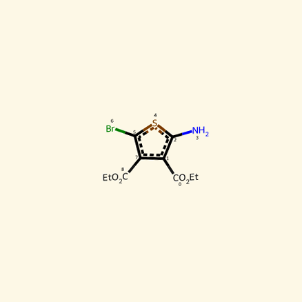 CCOC(=O)c1c(N)sc(Br)c1C(=O)OCC